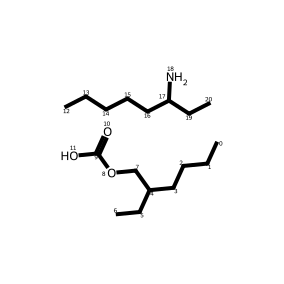 CCCCC(CC)COC(=O)O.CCCCCC(N)CC